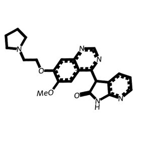 COc1cc2c(C3C(=O)Nc4ncccc43)ncnc2cc1OCCN1CCCC1